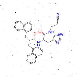 N#CCCNC(=O)C(Cc1c[nH]cn1)NC(=O)C(Cc1cccc2ccccc12)Cc1cccc2ccccc12